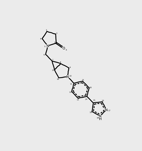 O=C1CCCN1CC1C2CN(c3ccc(-c4cn[nH]c4)cc3)CC12